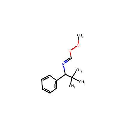 COO/C=N/C(c1ccccc1)C(C)(C)C